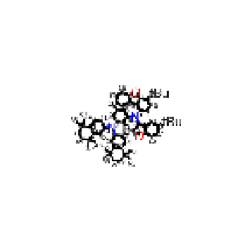 Cc1cc2c3c(c1)N(c1ccc(C(C)(C)C)c4oc5ccccc5c14)c1c(oc4ccc(C(C)(C)C)cc14)B3c1cc3c(cc1N2c1ccc2c(c1)C(C)(C)CCC2(C)C)C(C)(C)CCC3(C)C